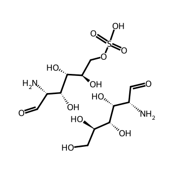 N[C@@H](C=O)[C@@H](O)[C@H](O)[C@H](O)CO.N[C@@H](C=O)[C@@H](O)[C@H](O)[C@H](O)COS(=O)(=O)O